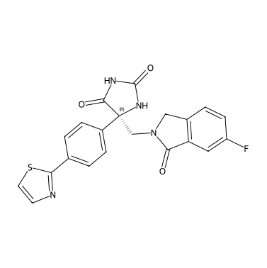 O=C1NC(=O)[C@](CN2Cc3ccc(F)cc3C2=O)(c2ccc(-c3nccs3)cc2)N1